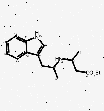 CCOC(=O)CC(C)NC(C)Cc1c[nH]c2ccccc12